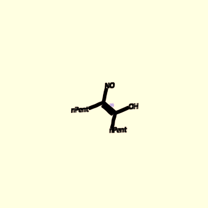 CCCCC/C(O)=C(\CCCCC)N=O